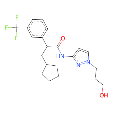 O=C(Nc1ccn(CCCO)n1)C(CC1CCCC1)c1cccc(C(F)(F)F)c1